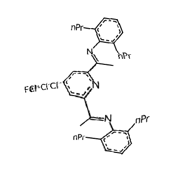 CCCc1cccc(CCC)c1N=C(C)c1cccc(C(C)=Nc2c(CCC)cccc2CCC)n1.[Cl-].[Cl-].[Cl-].[Fe+3]